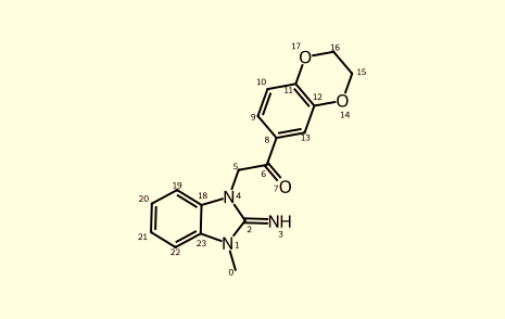 Cn1c(=N)n(CC(=O)c2ccc3c(c2)OCCO3)c2ccccc21